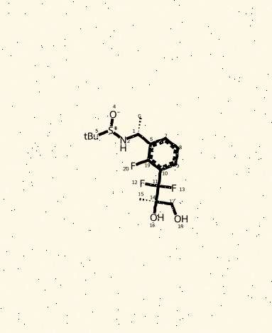 C[C@@H](N[S+]([O-])C(C)(C)C)c1cccc(C(F)(F)[C@](C)(O)CO)c1F